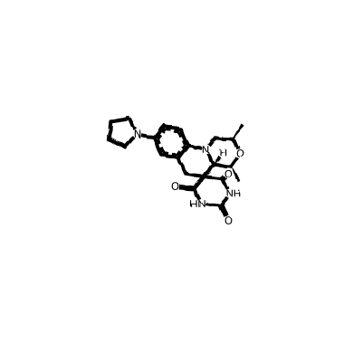 C[C@@H]1CN2c3ccc(N4CCCC4)cc3CC3(C(=O)NC(=O)NC3=O)[C@H]2[C@H](C)O1